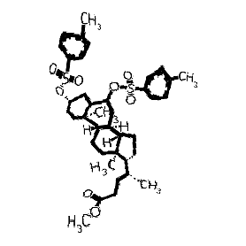 COC(=O)CC[C@@H](C)[C@H]1CC[C@H]2[C@@H]3CC(OS(=O)(=O)c4ccc(C)cc4)C4C[C@@H](OS(=O)(=O)c5ccc(C)cc5)CC[C@]4(C)[C@H]3CC[C@]12C